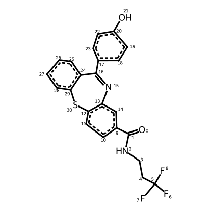 O=C(NCCC(F)(F)F)c1ccc2c(c1)N=C(c1ccc(O)cc1)c1ccccc1S2